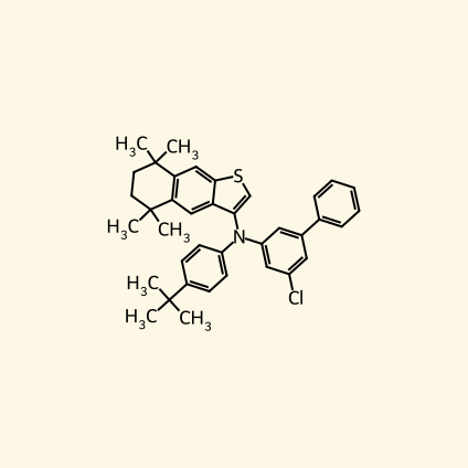 CC(C)(C)c1ccc(N(c2cc(Cl)cc(-c3ccccc3)c2)c2csc3cc4c(cc23)C(C)(C)CCC4(C)C)cc1